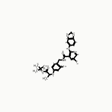 CC(Oc1ccc(CNC(=O)c2cc(F)cnc2Oc2ccc3c(c2)OCO3)c(F)c1)C(=O)OC(C)(C)C